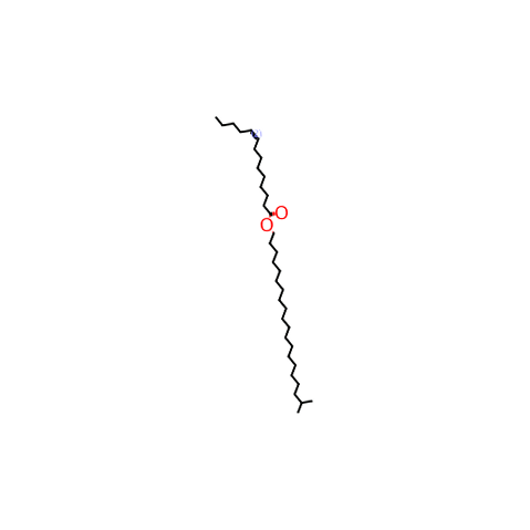 CCCC/C=C\CCCCCCCC(=O)OCCCCCCCCCCCCCCCCCCC(C)C